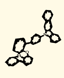 c1cc(-c2ccc(-n3c4ccccc4c4cc5ccccc5cc43)cc2)c2c(c1)-n1c3ccccc3c3cccc(c31)O2